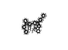 CC1(C)c2ccccc2-c2ccc3c(c21)c1cc(-c2ccc4c(c2)c2ccccc2n4-c2cccc(-c4ccccc4)c2)ccc1n3-c1ccc(-c2ccccc2)cc1